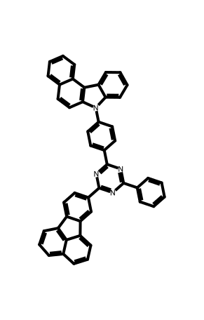 c1ccc(-c2nc(-c3ccc(-n4c5ccccc5c5c6ccccc6ccc54)cc3)nc(-c3ccc4c(c3)-c3cccc5cccc-4c35)n2)cc1